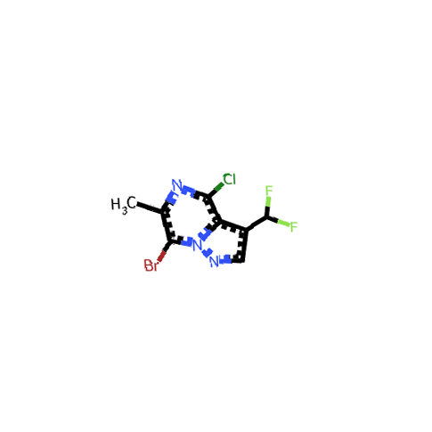 Cc1nc(Cl)c2c(C(F)F)cnn2c1Br